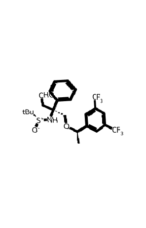 C[C@@H](OC[C@@](CC=O)(N[S@+]([O-])C(C)(C)C)c1ccccc1)c1cc(C(F)(F)F)cc(C(F)(F)F)c1